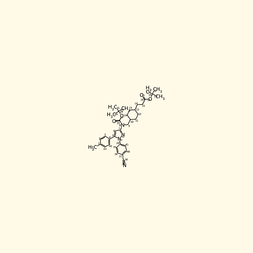 Cc1ccc(-c2cc(N(CC3CCC(CCC(=O)OC(C)(C)C)CC3)C(=O)OC(C)(C)C)nn2-c2ccc(C#N)cc2)cc1